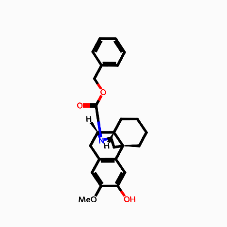 COc1cc2c(cc1O)[C@@]13CCCC[C@H]1[C@@H](C2)N(C(=O)OCc1ccccc1)CC3